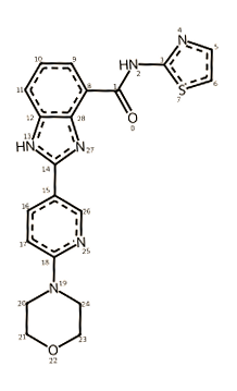 O=C(Nc1nccs1)c1cccc2[nH]c(-c3ccc(N4CCOCC4)nc3)nc12